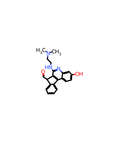 CN(C)CCNc1nc2cc(O)ccc2c2c1C(C=O)c1ccccc1-2